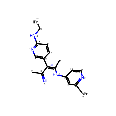 CCCc1cc(N/C(C)=C(\C(C)=N)c2ccc(NCC(C)C)nc2)ccn1